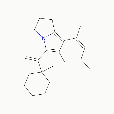 C=C(c1c(C)c(/C(C)=C\CC)c2n1CCC2)C1(C)CCCCC1